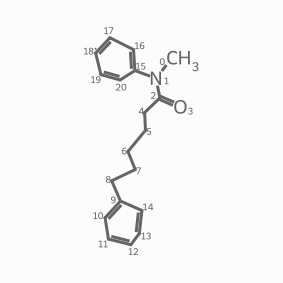 CN(C(=O)CCCCCc1ccccc1)c1cc[c]cc1